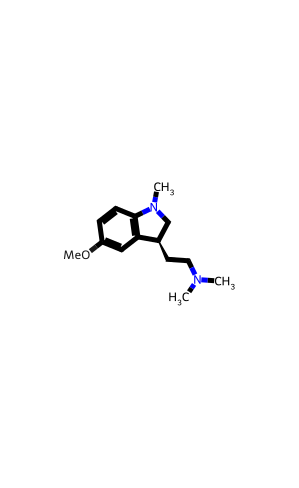 COc1ccc2c(c1)[C@H](CCN(C)C)CN2C